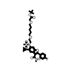 CNC(=O)c1c(-c2ccc(F)cc2)oc2cc(N(CCOCCCCCOCC(=O)OC(C)(C)C)S(C)(=O)=O)c(C3CC3)cc12